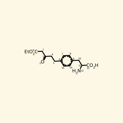 CCOC(=O)CC(=O)CCc1ccc(CC(N)C(=O)O)cc1